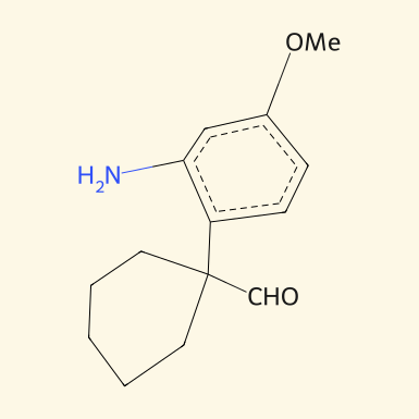 COc1ccc(C2(C=O)CCCCC2)c(N)c1